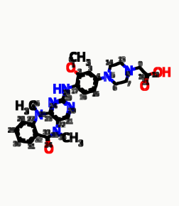 COc1cc(N2CCN(CC(=O)O)CC2)ccc1Nc1ncc2c(n1)N(C)c1ccccc1C(=O)N2C